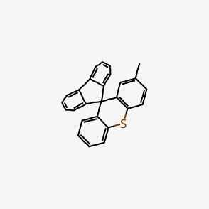 Cc1ccc2c(c1)C1(c3ccccc3S2)c2ccccc2-c2ccccc21